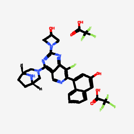 O=C(O)C(F)(F)F.O=C(O)C(F)(F)F.Oc1cc(-c2ncc3c(N4C[C@H]5CC[C@@H](C4)N5)nc(N4CC(O)C4)nc3c2F)c2ccccc2c1